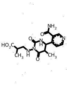 CC(CNN1C(=O)NC(c2ccncc2C(N)=O)C(C)C1=O)C(=O)O